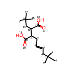 CC(C)(C)CC=CCC(C(=O)O)C(CC(C)(C)C)C(=O)O